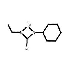 CCN1[SiH2]N(C2CCCCC2)C1Br